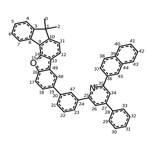 CC1(C)c2ccccc2-c2c1ccc1c2oc2ccc(-c3cccc(-c4cc(-c5ccccc5)cc(-c5ccc6ccccc6c5)n4)c3)cc21